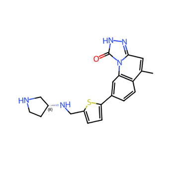 Cc1cc2n[nH]c(=O)n2c2cc(-c3ccc(CN[C@@H]4CCNC4)s3)ccc12